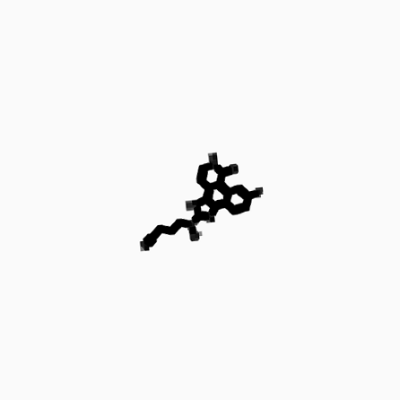 N#CCCC[S+]([O-])c1nc2c3ccc(F)cc3c3c(=O)[nH]ccc3c2[nH]1